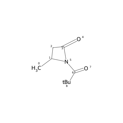 CC1CC(=O)N1C(=O)C(C)(C)C